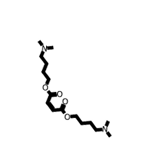 CN(C)CCCCOC(=O)/C=C\C(=O)OCCCCN(C)C